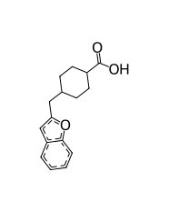 O=C(O)C1CCC(Cc2cc3ccccc3o2)CC1